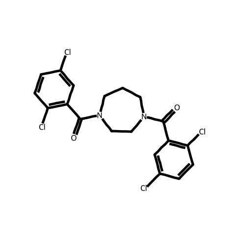 O=C(c1cc(Cl)ccc1Cl)N1CCCN(C(=O)c2cc(Cl)ccc2Cl)CC1